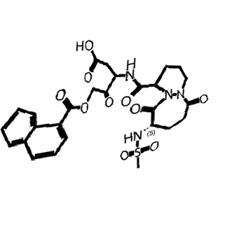 CS(=O)(=O)N[C@H]1CCC(=O)N2CCCC(C(=O)NC(CC(=O)O)C(=O)COC(=O)c3cccc4ccccc34)N2C1=O